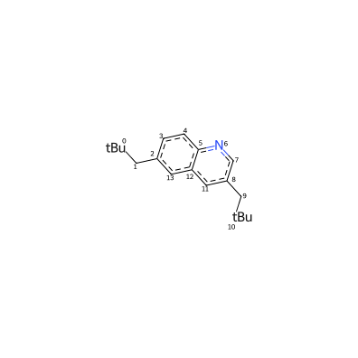 CC(C)(C)Cc1ccc2ncc(CC(C)(C)C)cc2c1